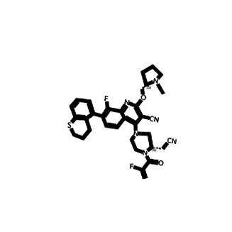 C=C(F)C(=O)N1CCN(c2c(C#N)c(OC[C@@H]3CCCN3C)nc3c(F)c(-c4cccc5c4CCCS5)ccc23)C[C@@H]1CC#N